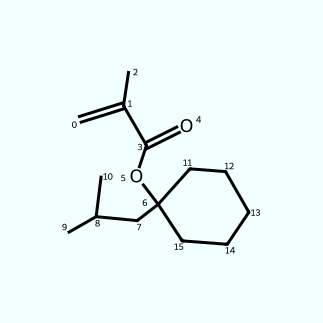 C=C(C)C(=O)OC1(CC(C)C)CCCCC1